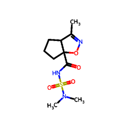 CC1=NOC2(C(=O)NS(=O)(=O)N(C)C)CCCC12